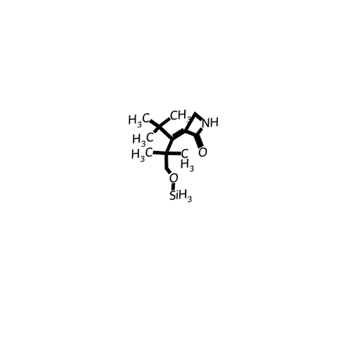 CC(C)(C)/C(=C1\CNC1=O)C(C)(C)CO[SiH3]